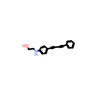 OCCNc1ccc(C#CC#Cc2ccccc2)cc1